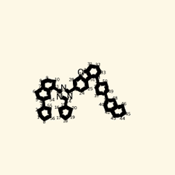 c1ccc(-c2ccc3cccc(-c4nc(-c5ccccc5)nc(-c5ccc6c(c5)oc5cccc(-c7ccc(-c8ccc9ccccc9c8)cc7)c56)n4)c3c2)cc1